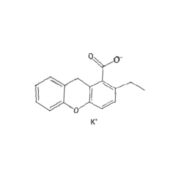 CCc1ccc2c(c1C(=O)[O-])Cc1ccccc1O2.[K+]